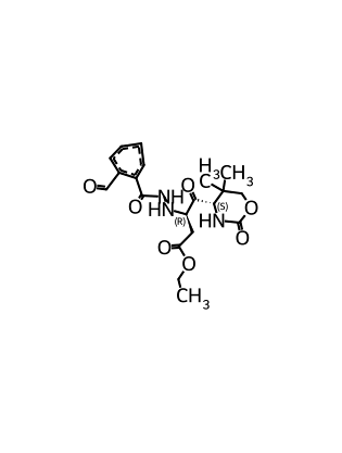 CCOC(=O)C[C@@H](NNC(=O)c1ccccc1C=O)C(=O)[C@H]1NC(=O)OCC1(C)C